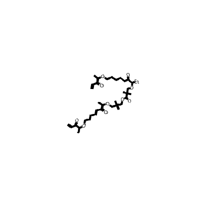 C=CC(=O)C(C)OCCCCCC(=O)C(C)OCC(C)(C)COC(=O)C(C)(C)COC(CC)C(=O)CCCCCOC(C)C(=O)C=C